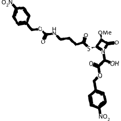 CO[C@H]1C(=O)N(C(O)C(=O)OCc2ccc([N+](=O)[O-])cc2)[C@@H]1SC(=O)CCCNC(=O)OCc1ccc([N+](=O)[O-])cc1